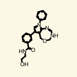 O=C(NCCO)c1cccc(-c2cn(-c3ccccc3)c3c2COCN/C=N\3)c1